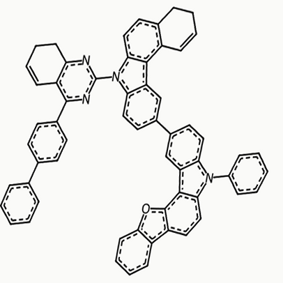 C1=Cc2c(ccc3c2c2cc(-c4ccc5c(c4)c4c6oc7ccccc7c6ccc4n5-c4ccccc4)ccc2n3-c2nc3c(c(-c4ccc(-c5ccccc5)cc4)n2)C=CCC3)CC1